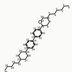 CCCCCCC1CCC(c2ccc(-c3ccc(C4CCC(CCCCC)CC4)cc3)cc2)OC1